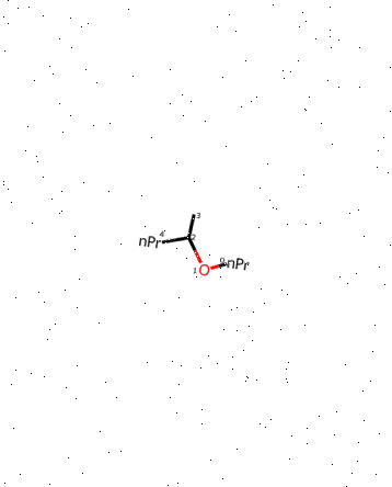 CCCOC(C)CCC